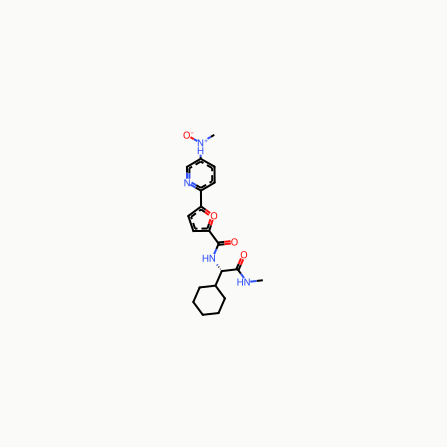 CNC(=O)[C@@H](NC(=O)c1ccc(-c2ccc([NH+](C)[O-])cn2)o1)C1CCCCC1